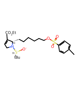 CCOC(=O)C1=CCN([S@+]([O-])C(C)(C)C)[C@H]1CCCCCCOS(=O)(=O)c1ccc(C)cc1